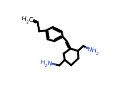 C=CCc1ccc(C=C2CC(CN)CCC2CN)cc1